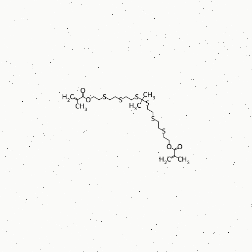 C=C(C)C(=O)OCCSCCSCCSC(C)(C)SCCSCCSCCOC(=O)C(=C)C